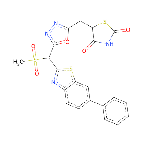 CS(=O)(=O)C(c1nnc(CC2SC(=O)NC2=O)o1)c1nc2ccc(-c3ccccc3)cc2s1